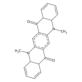 CN1c2cc3c(cc2C(=O)C2C=CC=CC21)N(C)C1C=CC=CC1C3=O